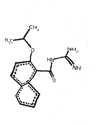 CC(C)Oc1ccc2ccccc2c1C(=O)NC(=N)N